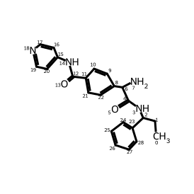 CCC(NC(=O)C(N)c1ccc(C(=O)Nc2ccncc2)cc1)c1ccccc1